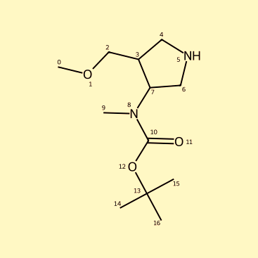 COCC1CNCC1N(C)C(=O)OC(C)(C)C